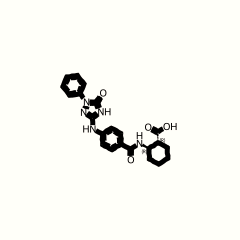 O=C(N[C@@H]1CCCC[C@H]1C(=O)O)c1ccc(Nc2nn(-c3ccccc3)c(=O)[nH]2)cc1